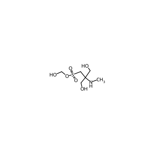 CNC(CO)(CO)CS(=O)(=O)OCO